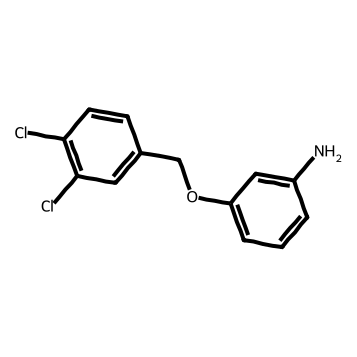 Nc1cccc(OCc2ccc(Cl)c(Cl)c2)c1